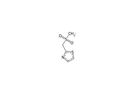 [CH2]S(=O)(=O)Cc1nccs1